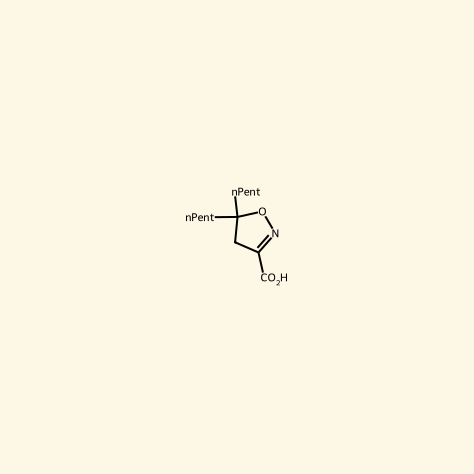 CCCCCC1(CCCCC)CC(C(=O)O)=NO1